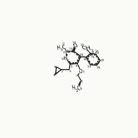 C=CCOc1c(CC2CC2)nn(C)c(=O)c1-c1ccccc1C